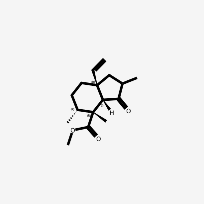 C=C[C@]12CC[C@@H](C)[C@@](C)(C(=O)OC)[C@H]1C(=O)C(C)C2